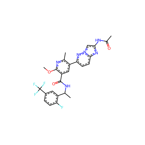 COc1nc(C)c(-c2ccc3nc(NC(C)=O)cn3n2)cc1C(=O)NC(C)c1cc(C(F)(F)F)ccc1F